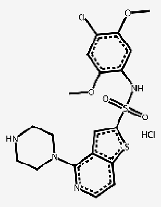 COc1cc(NS(=O)(=O)c2cc3c(N4CCNCC4)nccc3s2)c(OC)cc1Cl.Cl